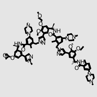 CCOc1cc([C@@H](C)NC(=O)c2cc(N3CCN(C)CC3)ccc2C)cc(-c2cnn(Cc3cc(N4CCN(C)CC4)cc(C(=O)N[C@H](C)c4cc(OCCOC)c(OC)c(-c5cnn(Cc6cc(N7CCN(C)CC7)cc(C(=O)N[C@H](C)c7cc(OC8COC8)cc(-c8cnn(C)c8)c7)c6C)c5)c4)c3C)c2)c1OC